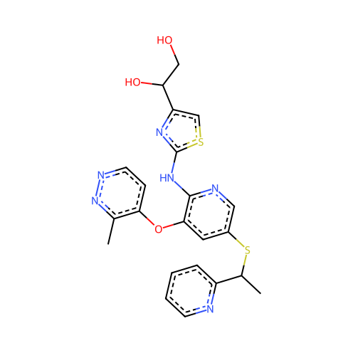 Cc1nnccc1Oc1cc(SC(C)c2ccccn2)cnc1Nc1nc(C(O)CO)cs1